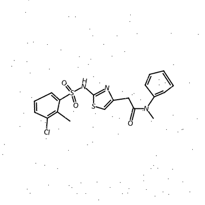 Cc1c(Cl)cccc1S(=O)(=O)Nc1nc(CC(=O)N(C)c2ccccc2)cs1